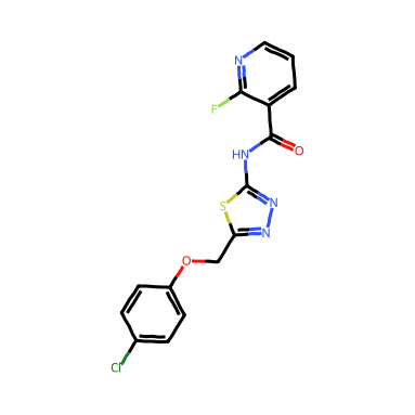 O=C(Nc1nnc(COc2ccc(Cl)cc2)s1)c1cccnc1F